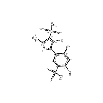 Cn1nc(-c2cc(S(=O)(=O)Cl)c(Cl)cc2F)c(Cl)c1S(C)(=O)=O